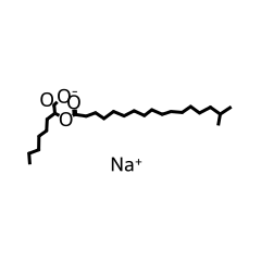 CCCCCCC(OC(=O)CCCCCCCCCCCCCCC(C)C)C(=O)[O-].[Na+]